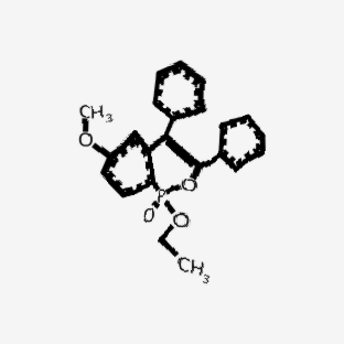 CCOP1(=O)OC(c2ccccc2)=C(c2ccccc2)c2cc(OC)ccc21